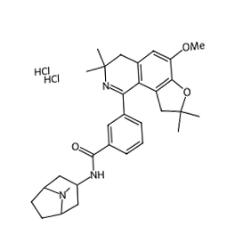 COc1cc2c(c3c1OC(C)(C)C3)C(c1cccc(C(=O)NC3CC4CCC(C3)N4C)c1)=NC(C)(C)C2.Cl.Cl